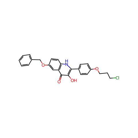 O=c1c(O)c(-c2ccc(OCCCCl)cc2)[nH]c2ccc(OCc3ccccc3)cc12